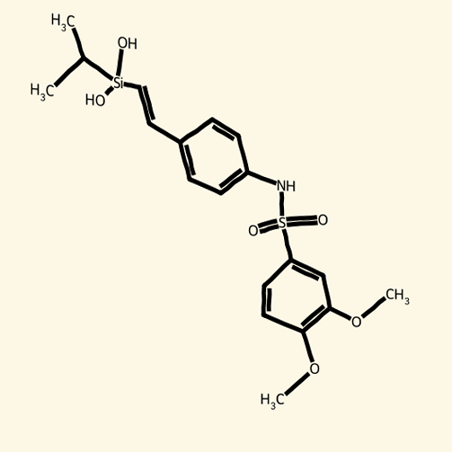 COc1ccc(S(=O)(=O)Nc2ccc(C=C[Si](O)(O)C(C)C)cc2)cc1OC